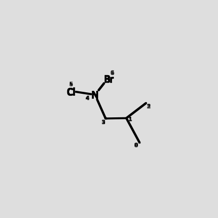 CC(C)CN(Cl)Br